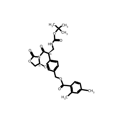 Cc1ccc(C(=O)OCc2ccc([C@H](CNC(=O)OC(C)(C)C)C(=O)N3C(=O)OC[C@@H]3C)cc2)c(C)c1